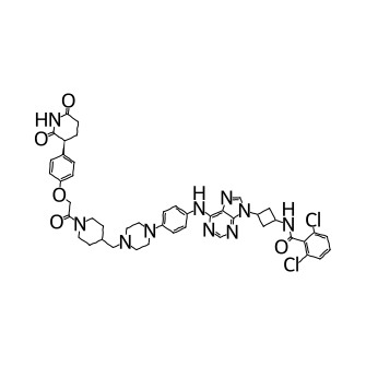 O=C1CC[C@@H](c2ccc(OCC(=O)N3CCC(CN4CCN(c5ccc(Nc6ncnc7c6ncn7C6CC(NC(=O)c7c(Cl)cccc7Cl)C6)cc5)CC4)CC3)cc2)C(=O)N1